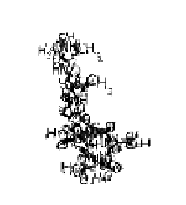 CSC[C@H](NC(=O)CNC(=O)[C@H](CC(C)C)NC(=O)C1CCCN1C(=O)COCCNC(=O)[C@@H](CCC(=O)O)NC(=O)[C@@H](CCC(=O)O)NC(=O)[C@@H](CCC(=O)O)NC(=O)[C@@H](CCC(=O)O)NC(=O)[C@H](N)CCC(=O)O)C(=O)NC(C)C